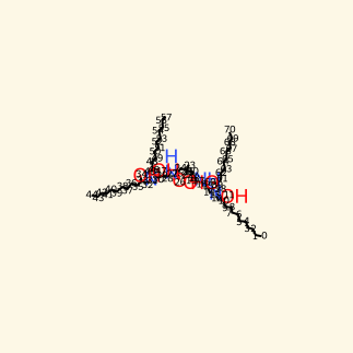 CCCCCCCCCCC(O)CN(CCCNC(=O)CC(C)(C)CC(=O)NCCCN(CC(O)CCCCCCCCCC)CC(O)CCCCCCCCCC)CC(O)CCCCCCCCCC